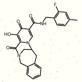 Cc1ccc(CNC(=O)c2cn3c(c(O)c2=O)C(=O)N2Cc4ccccc4CC3C2)c(F)c1